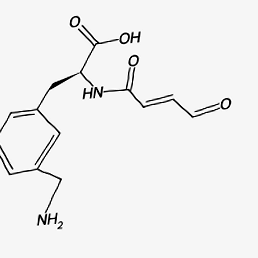 NCc1cccc(C[C@H](NC(=O)/C=C/C=O)C(=O)O)c1